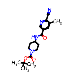 Cc1cc(C(=O)NC2CCN(C(=O)OC(C)(C)C)CC2)cnc1C#N